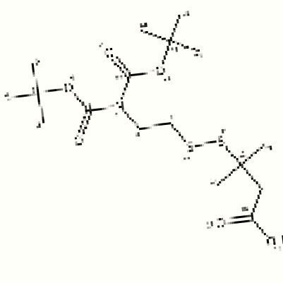 CC(C)(C)OC(=O)N(CCSSC(C)(C)CC(=O)O)C(=O)OC(C)(C)C